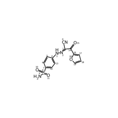 N#C/C(=N\Nc1ccc(S(N)(=O)=O)cc1)C(=O)c1ccco1